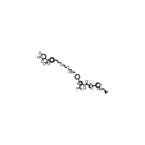 O=C1CCC(n2c(=O)oc3cc(CCCOCCOCCNC[C@H]4CC[C@H](n5cc(NC(=O)c6coc(-c7ccnc(NCC8CC8)c7)n6)c(C(F)F)n5)CC4)ccc32)C(=O)N1